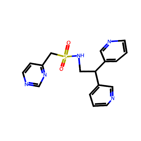 O=S(=O)(Cc1ccncn1)NCC(c1cccnc1)c1cccnc1